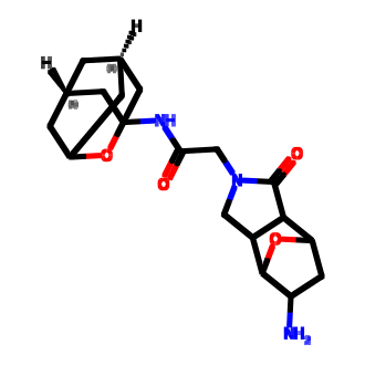 NC1CC2OC1C1CN(CC(=O)NC34C[C@@H]5CC(C[C@@H](C5)C3)O4)C(=O)C21